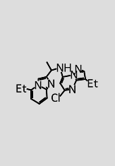 CCc1cnn2c(NC(C)c3cn4c(CC)cccc4n3)cc(Cl)nc12